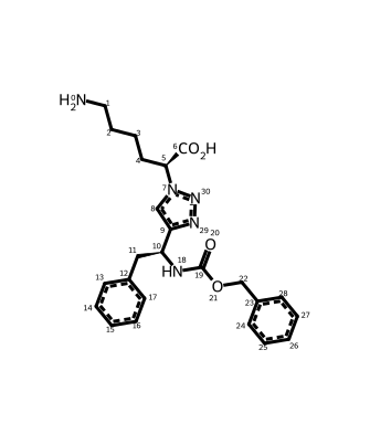 NCCCC[C@@H](C(=O)O)n1cc([C@H](Cc2ccccc2)NC(=O)OCc2ccccc2)nn1